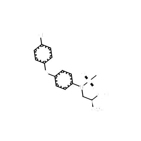 CO[C@@H](CN(c1ccc(Oc2ccc(Cl)cc2)cc1)S(C)(=O)=O)C(=O)O